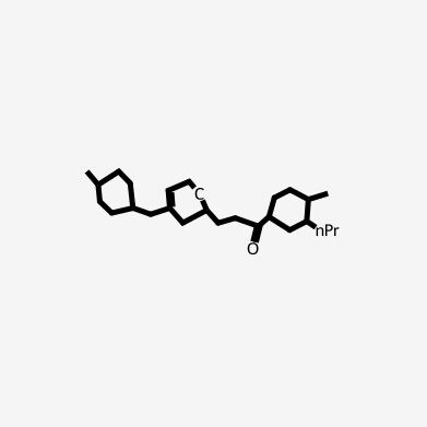 CCCC1CC(C(=O)CCC2CCC=C(CC3CCC(C)CC3)C2)CCC1C